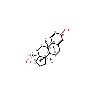 C[C@]12CC[C@H]3[C@@H](CCC4=C[C@H](O)C=C[C@@H]43)[C@@H]1CC[C@@H]2O